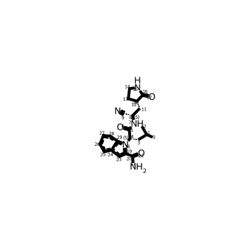 CC(C)C[C@@H](C(=O)N[C@H](C#N)C[C@@H]1CCNC1=O)n1c(C(N)=O)cc2ccccc21